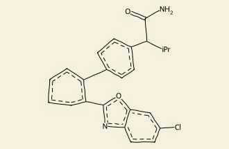 CC(C)C(C(N)=O)c1ccc(-c2ccccc2-c2nc3ccc(Cl)cc3o2)cc1